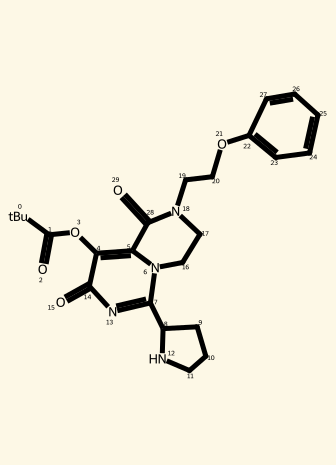 CC(C)(C)C(=O)Oc1c2n(c(C3CCCN3)nc1=O)CCN(CCOc1ccccc1)C2=O